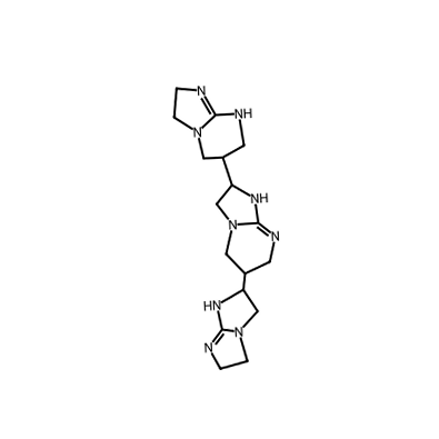 C1CN2CC(C3CN4CC(C5CN6CCN=C6N5)CN=C4N3)CNC2=N1